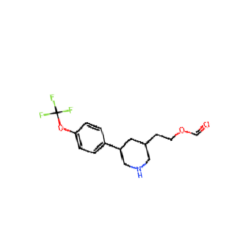 O=COCCC1CNCC(c2ccc(OC(F)(F)F)cc2)C1